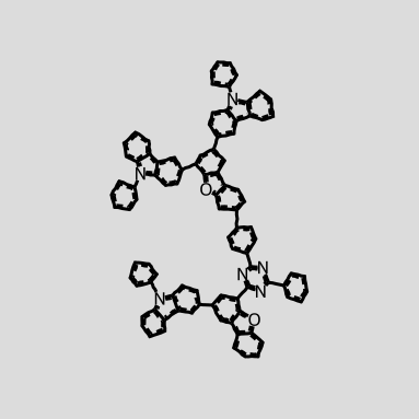 c1ccc(-c2nc(-c3ccc(-c4ccc5c(c4)oc4c(-c6ccc7c(c6)c6ccccc6n7-c6ccccc6)cc(-c6ccc7c(c6)c6ccccc6n7-c6ccccc6)cc45)cc3)nc(-c3cc(-c4ccc5c(c4)c4ccccc4n5-c4ccccc4)cc4c3oc3ccccc34)n2)cc1